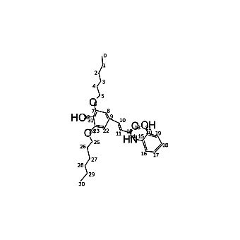 CCCCCCOc1cc(/C=C/C(=O)Nc2ccccc2O)cc(OCCCCCC)c1O